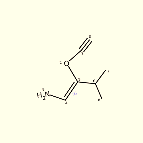 C#CO/C(=C\N)C(C)C